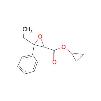 CCC1(c2ccccc2)OC1C(=O)OC1CC1